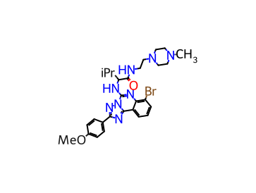 COc1ccc(-c2nc3c4cccc(Br)c4nc(NC(C(=O)NCCN4CCN(C)CC4)C(C)C)n3n2)cc1